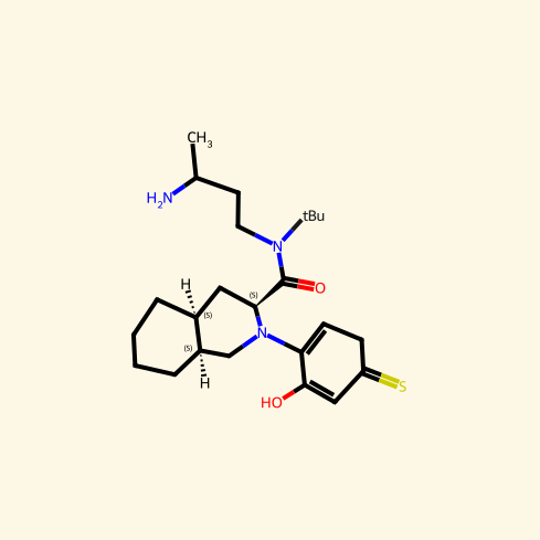 CC(N)CCN(C(=O)[C@@H]1C[C@@H]2CCCC[C@@H]2CN1C1=CCC(=S)C=C1O)C(C)(C)C